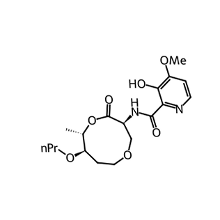 CCCO[C@@H]1CCOC[C@H](NC(=O)c2nccc(OC)c2O)C(=O)O[C@H]1C